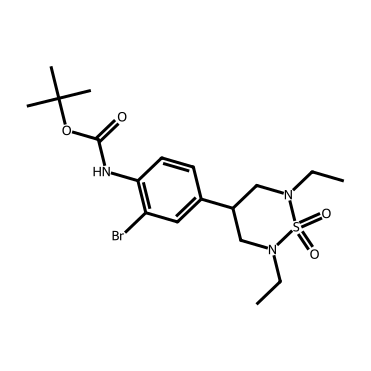 CCN1CC(c2ccc(NC(=O)OC(C)(C)C)c(Br)c2)CN(CC)S1(=O)=O